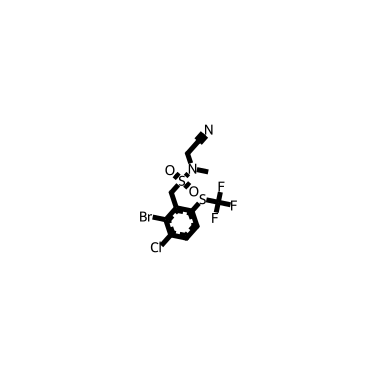 CN(CC#N)S(=O)(=O)Cc1c(SC(F)(F)F)ccc(Cl)c1Br